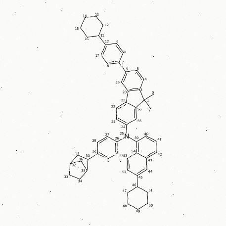 CC1(C)c2ccc(-c3ccc(C4CCCCC4)cc3)cc2-c2ccc(N(c3ccc(C4CC5CCC4C5)cc3)c3cccc4cc(C5CCCCC5)ccc34)cc21